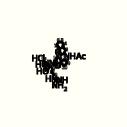 CC(=O)N[C@H](Cc1ccccc1)C(=O)N(CC(=O)N[C@@H](CCCNC(=N)N)B(O)O)C1CCCC1.Cl